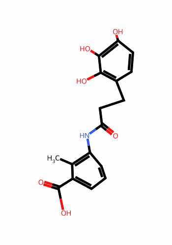 Cc1c(NC(=O)CCc2ccc(O)c(O)c2O)cccc1C(=O)O